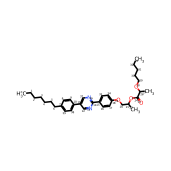 CCCCCCCc1ccc(-c2cnc(-c3ccc(OCC(C)OC(=O)C(C)OCCCCC)cc3)nc2)cc1